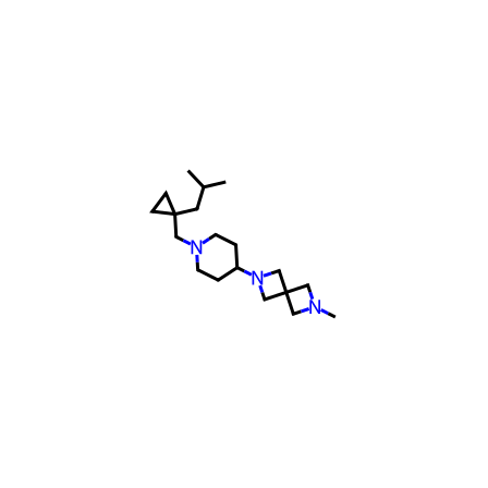 CC(C)CC1(CN2CCC(N3CC4(CN(C)C4)C3)CC2)CC1